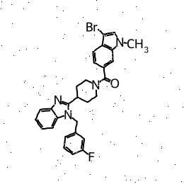 Cn1cc(Br)c2ccc(C(=O)N3CCC(c4nc5ccccc5n4Cc4cccc(F)c4)CC3)cc21